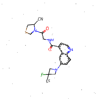 CCC1(F)CN(c2ccc3nccc(C(=O)NCC(=O)N4CSCC4C#N)c3c2)C1